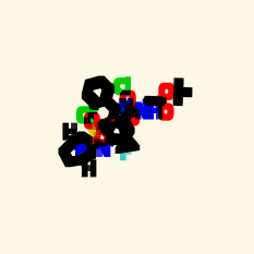 CC(C)(C)OC(=O)CNC(=O)c1cc(F)c2nc(N3[C@@H]4CC[C@H]3C[C@H](OC(=O)c3c(-c5c(Cl)cccc5Cl)noc3C3CC3)C4)sc2c1